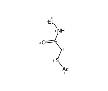 C[CH]NC(=O)CSC(C)=O